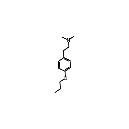 CCCOc1ccc(CCN(C)C)cc1